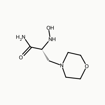 NC(=O)[C@@H](CN1CCOCC1)NO